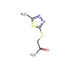 CC(=O)CSc1nnc(C)s1